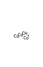 C.[Co].[Co].[Co]